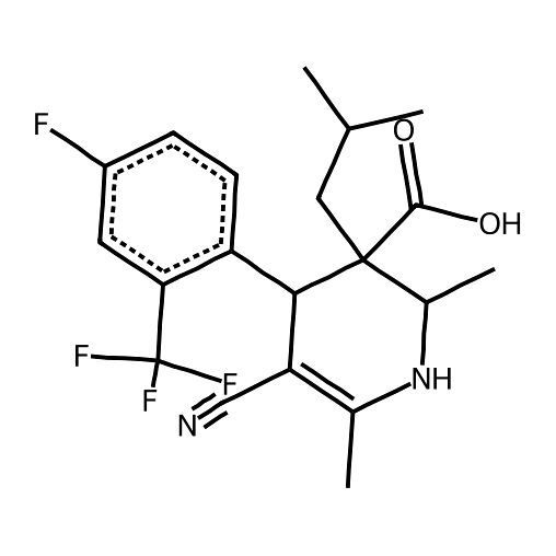 CC1=C(C#N)C(c2ccc(F)cc2C(F)(F)F)C(CC(C)C)(C(=O)O)C(C)N1